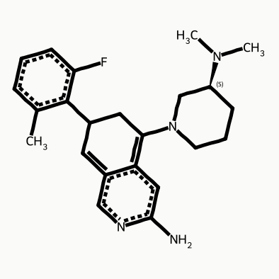 Cc1cccc(F)c1C1C=c2cnc(N)cc2=C(N2CCC[C@H](N(C)C)C2)C1